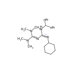 CCCC(CCC)N/C(N=C(N(C)C)N(C)C)=N/C1CCCCC1